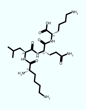 CC(C)C[C@H](NC(=O)[C@@H](N)CCCCN)C(=O)N[C@@H](CCC(N)=O)C(=O)N[C@@H](CCCCN)C(=O)O